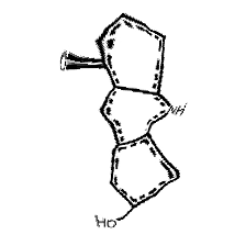 O=c1cccc2[nH]c3ccc(O)cc3cc1-2